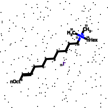 CCCCCCCCC=CCCCCCCCC[N+](C)(C)CCCCCC.[I-]